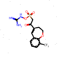 N=C(N)NOS(=O)(=O)CC(=O)C1=Cc2cccc(C(F)(F)F)c2OCC1